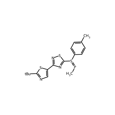 CP=S(c1ccc(C)cc1)c1nc(-c2cnc(C(C)(C)C)s2)ns1